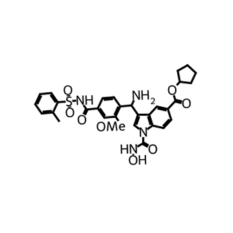 COc1cc(C(=O)NS(=O)(=O)c2ccccc2C)ccc1C(N)c1cn(C(=O)NO)c2ccc(C(=O)OC3CCCC3)cc12